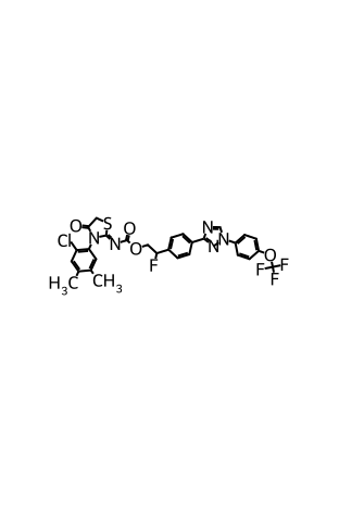 Cc1cc(Cl)c(N2C(=O)CS/C2=N\C(=O)OCC(F)c2ccc(-c3ncn(-c4ccc(OC(F)(F)F)cc4)n3)cc2)cc1C